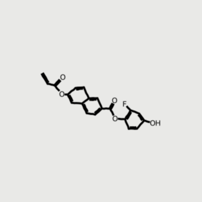 C=CC(=O)Oc1ccc2cc(C(=O)Oc3ccc(O)cc3F)ccc2c1